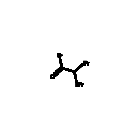 CCCC(C([O])=O)C(C)C